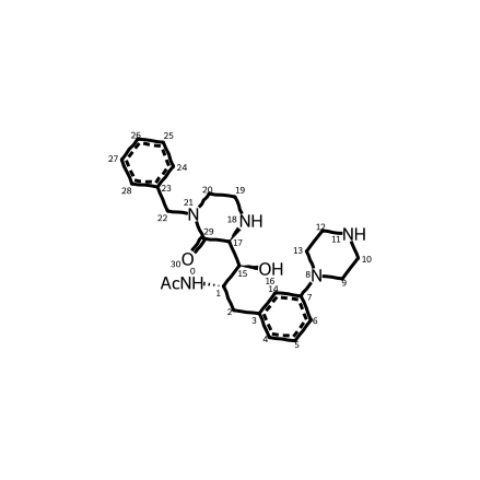 CC(=O)N[C@@H](Cc1cccc(N2CCNCC2)c1)[C@H](O)[C@@H]1NCCN(Cc2ccccc2)C1=O